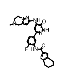 CN1CCn2nc(Nc3cc(-c4ccc(F)c(NC(=O)c5cc6c(s5)CCCC6)c4)n[nH]c3=O)cc2C1